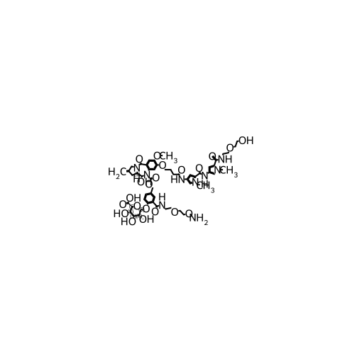 C=C1C[C@H]2C(O)N(C(=O)OCc3ccc(O[C@@H]4O[C@H](C(=O)O)[C@@H](O)[C@H](O)[C@H]4O)c(C(=O)NCCOCCON)c3)c3cc(OCCCC(=O)Nc4cc(C(=O)Nc5cc(C(=O)NCCOCCO)n(C)c5)n(C)c4)c(OC)cc3C(=O)N2C1